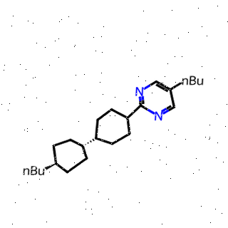 CCCCc1cnc(C2CCC([C@H]3CC[C@H](CCCC)CC3)CC2)nc1